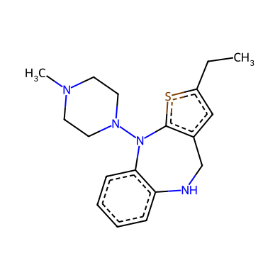 CCc1cc2c(s1)N(N1CCN(C)CC1)c1ccccc1NC2